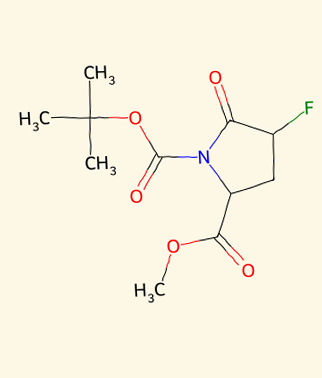 COC(=O)C1CC(F)C(=O)N1C(=O)OC(C)(C)C